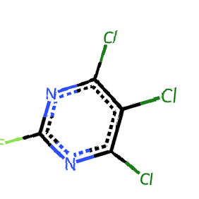 Fc1nc(Cl)c(Cl)c(Cl)n1